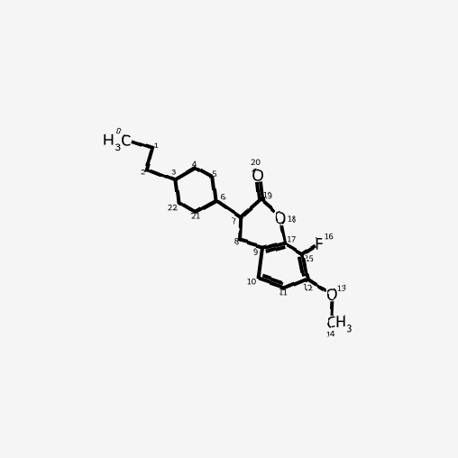 CCCC1CCC(C2Cc3ccc(OC)c(F)c3OC2=O)CC1